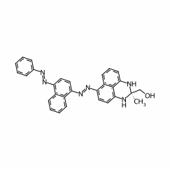 C[C@@]1(CO)Nc2cccc3c(/N=N/c4ccc(/N=N/c5ccccc5)c5ccccc45)ccc(c23)N1